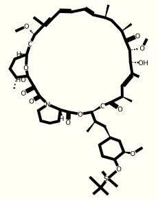 CO[C@H]1C[C@@H]2CC[C@@H](C)[C@@](O)(O2)C(=O)C(=O)N2CCCC[C@H]2C(=O)O[C@H]([C@H](C)C[C@@H]2CCC(O[Si](C)(C)C(C)(C)C)[C@H](OC)C2)CC(=O)[C@H](C)/C=C(\C)[C@@H](O)[C@@H](OC)C(=O)[C@H](C)C[C@H](C)/C=C/C=C/C=C/1C